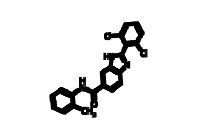 Cc1ccccc1NC(=O)c1ccc2nc(-c3c(Cl)cccc3Cl)[nH]c2c1